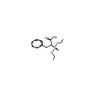 CCOP(=O)(OCC)C(Cc1ccccc1)C(=O)O